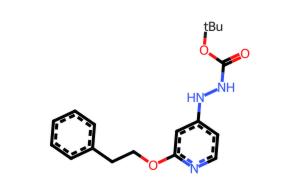 CC(C)(C)OC(=O)NNc1ccnc(OCCc2ccccc2)c1